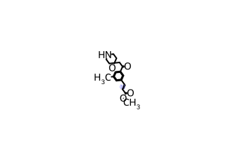 COC(=O)/C=C/c1cc(C)c2c(c1)C(=O)CC1(CCNCC1)O2